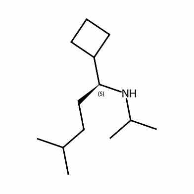 CC(C)CC[C@H](NC(C)C)C1CCC1